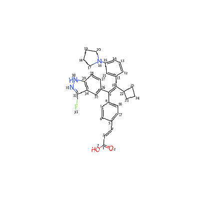 O=C(O)C=Cc1ccc(C(=C(c2cccc(N3CCCC3)c2)C2CCC2)c2ccc3[nH]nc(F)c3c2)cc1